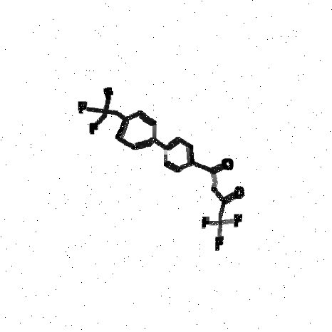 O=C(CC(=O)C(F)(F)F)c1ccc(-c2ccc(C(F)(F)F)cc2)cc1